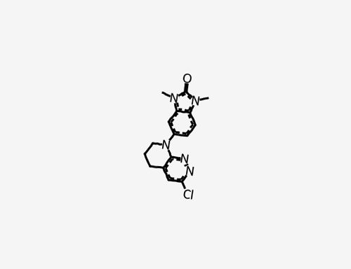 Cn1c(=O)n(C)c2cc(N3CCCc4cc(Cl)nnc43)ccc21